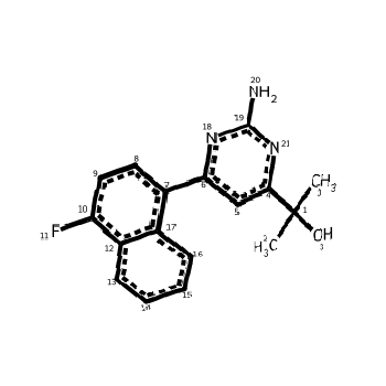 CC(C)(O)c1cc(-c2ccc(F)c3ccccc23)nc(N)n1